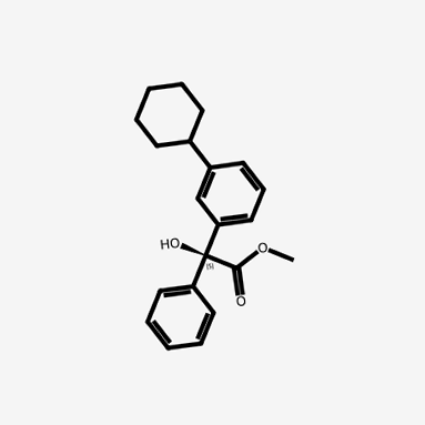 COC(=O)[C@](O)(c1ccccc1)c1cccc(C2CCCCC2)c1